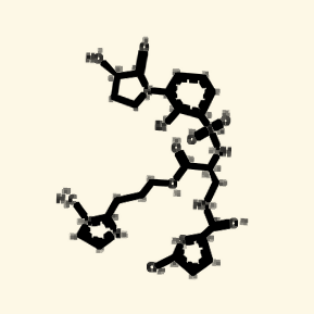 CCc1c(N2CC[C@@H](O)C2=O)cccc1S(=O)(=O)N[C@@H](CNC(=O)c1ccc(Cl)s1)C(=O)OCCCc1nccn1C